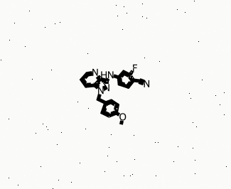 COc1ccc(Cn2nc(Nc3ccc(C#N)c(F)c3)c3ncccc32)cc1